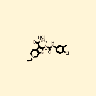 CCN1CCc2c(sc(NC(=O)Nc3ccc(Cl)c(C)c3)c2C(N)=O)C1.Cl